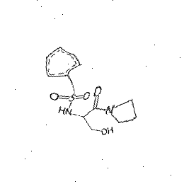 O=C(C(CO)NS(=O)(=O)c1ccccc1)N1CCC1